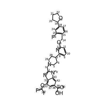 Cn1c(CN2CCC(c3cccc(OCc4ccc(C5CCCO5)cc4F)n3)CC2)nc2c(OC(F)F)cc(C(=O)O)cc21